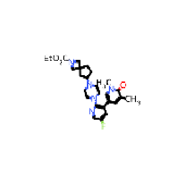 CCOC(=O)N1CC2(CC[C@@H](N3CCN(c4ncc(F)cc4-c4cc(C)c(=O)n(C)c4)CC3)C2)C1